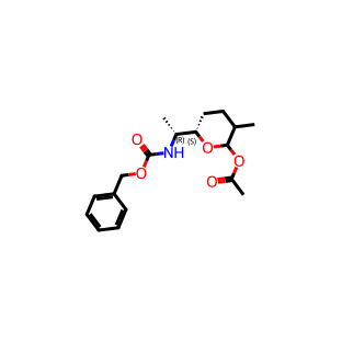 CC(=O)OC1O[C@H]([C@@H](C)NC(=O)OCc2ccccc2)CCC1C